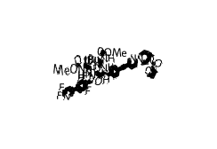 COC(=O)N[C@H](C(=O)N[C@@H](Cc1ccc(C#Cc2ccc(N3CCC4CC(C3)N(C(=O)[C@@H]3CCCO3)C4)nc2)cc1)[C@@H](O)CN(Cc1c(F)cc(-c2cnc(F)c(F)c2)cc1F)NC(=O)[C@@H](NC(=O)OC)C(C)(C)C)C(C)(C)C